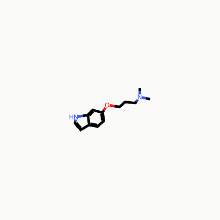 CN(C)CCCOc1ccc2[c]c[nH]c2c1